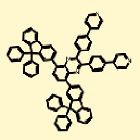 c1ccc(C2(c3ccccc3)c3ccccc3-c3ccc(-c4ccc(-c5ccc6c(c5)C(c5ccccc5)(c5ccccc5)c5ccccc5-6)c5nc(-c6ccc(-c7ccncc7)cc6)c(-c6ccc(-c7ccncc7)cc6)nc45)cc32)cc1